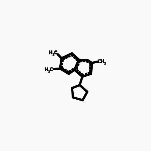 Cc1cc(C2CCCC2)c2cc(C)c(C)cc2c1